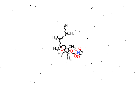 Cc1c(C)c2c(c(C)c1OCC(=O)ON1C(=O)CCC1=O)CC[C@@](C)(CCC[C@H](C)CCC[C@H](C)CCCC(C)C)O2